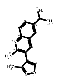 Cc1nocc1-c1cc2cc(C(C)C)ccc2nc1N